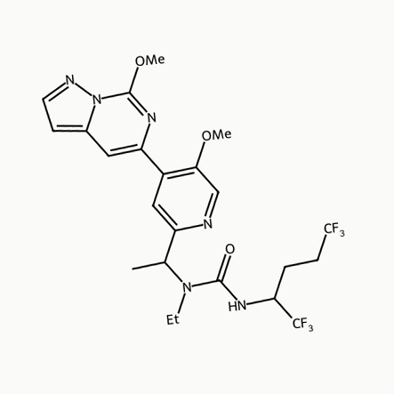 CCN(C(=O)NC(CCC(F)(F)F)C(F)(F)F)C(C)c1cc(-c2cc3ccnn3c(OC)n2)c(OC)cn1